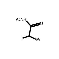 CC(=O)NC(=O)C(I)C(C)C